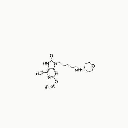 CCC[C@H](C)Oc1nc(N)c2[nH]c(=O)n(CCCCCNC3CCOCC3)c2n1